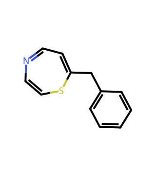 C1=CSC(Cc2ccccc2)=CC=N1